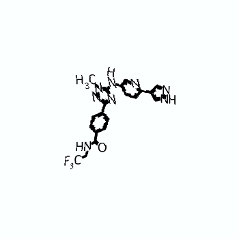 Cn1nc(-c2ccc(C(=O)NCC(F)(F)F)cc2)nc1Nc1ccc(-c2cn[nH]c2)nc1